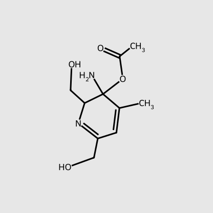 CC(=O)OC1(N)C(C)=CC(CO)=NC1CO